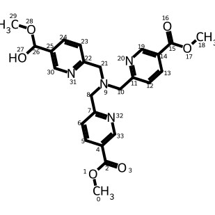 COC(=O)c1ccc(CN(Cc2ccc(C(=O)OC)cn2)Cc2ccc(C(O)OC)cn2)nc1